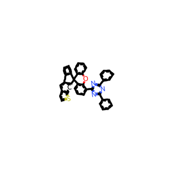 c1ccc(-c2nc(-c3ccccc3)nc(-c3cccc4c3Oc3ccccc3C43c4ccccc4-c4cc5ccsc5cc43)n2)cc1